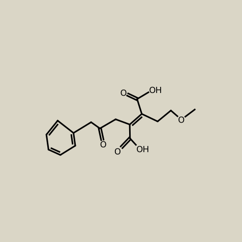 COCCC(C(=O)O)=C(CC(=O)Cc1ccccc1)C(=O)O